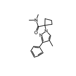 Cc1cn(C2(C(=O)N(C)C)CCC2)nc1-c1ccccc1